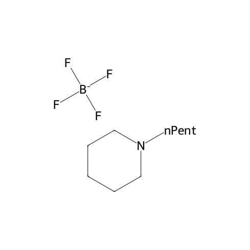 CCCCCN1CCCCC1.F[B-](F)(F)F